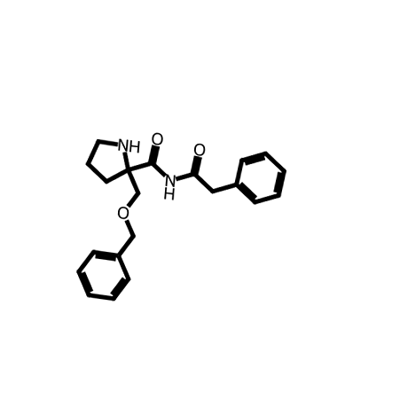 O=C(Cc1ccccc1)NC(=O)C1(COCc2ccccc2)CCCN1